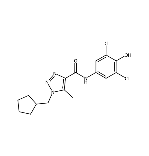 Cc1c(C(=O)Nc2cc(Cl)c(O)c(Cl)c2)nnn1CC1CCCC1